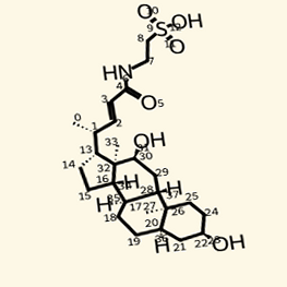 C[C@H](C=CC(=O)NCCS(=O)(=O)O)[C@H]1CC[C@H]2[C@@H]3CC[C@@H]4C[C@H](O)CC[C@]4(C)[C@H]3C[C@H](O)[C@]12C